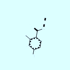 O=C=NC(=O)c1ccc(Cl)cc1Cl